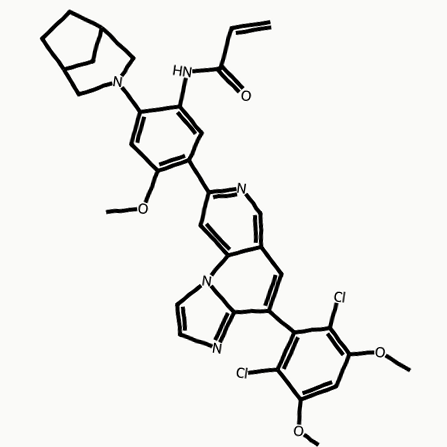 C=CC(=O)Nc1cc(-c2cc3c(cn2)cc(-c2c(Cl)c(OC)cc(OC)c2Cl)c2nccn23)c(OC)cc1N1CC2CCC(C2)C1